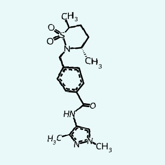 Cc1nn(C)cc1NC(=O)c1ccc(CN2[C@@H](C)CCC(C)S2(=O)=O)cc1